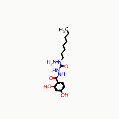 CCCCCCCCN(N)C(=O)NNC(=O)c1ccc(O)cc1O